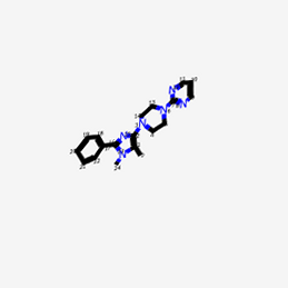 Cc1c(N2CCN(c3ncccn3)CC2)nc(-c2ccccc2)n1C